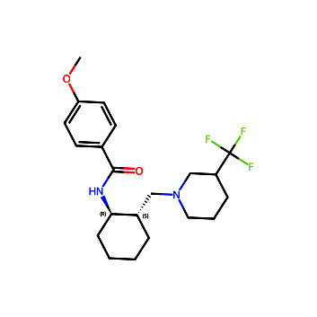 COc1ccc(C(=O)N[C@@H]2CCCC[C@H]2CN2CCCC(C(F)(F)F)C2)cc1